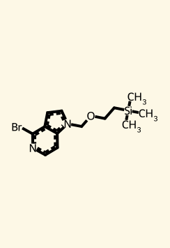 C[Si](C)(C)CCOCn1ccc2c(Br)nccc21